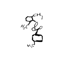 CCc1ccc(C(=O)OO[C]2C(C)CCCC2C)cc1